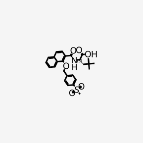 CC(C)(C)C[C@H](NC(=O)c1ccc2ccccc2c1OCc1ccc(S(C)(=O)=O)cc1)C(=O)O